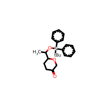 CC(O[Si](c1ccccc1)(c1ccccc1)C(C)(C)C)C1CCC(=O)CO1